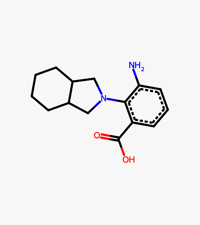 Nc1cccc(C(=O)O)c1N1CC2CCCCC2C1